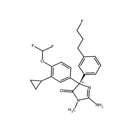 CN1C(=O)[C@](c2cccc(CCCF)c2)(c2ccc(OC(F)F)c(C3CC3)c2)N=C1N